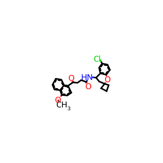 COc1ccc(C(=O)CCC(=O)NC2CC3(CCC3)Oc3ccc(Cl)cc32)c2ccccc12